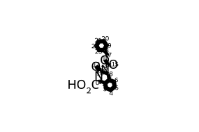 O=C(O)C1c2ccccc2C2CN1C(=O)N2C(=O)OCc1ccccc1